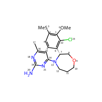 COc1c(SC)ccc([C@@H]2COCCCN2c2cc(C)nc(N)n2)c1Cl